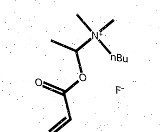 C=CC(=O)OC(C)[N+](C)(C)CCCC.[F-]